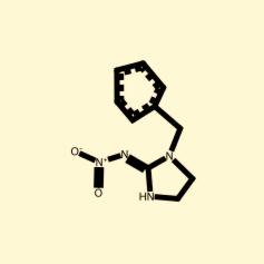 O=[N+]([O-])/N=C1\NCCN1Cc1ccccc1